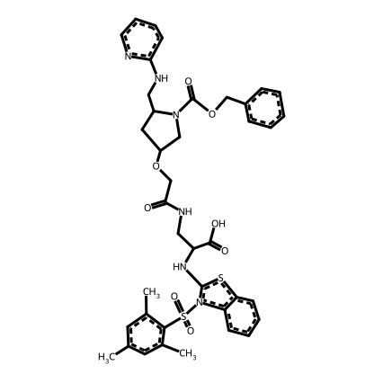 Cc1cc(C)c(S(=O)(=O)[n+]2c(NC(CNC(=O)COC3CC(CNc4ccccn4)N(C(=O)OCc4ccccc4)C3)C(=O)O)sc3ccccc32)c(C)c1